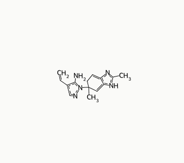 C=Cc1cnn(C2(C)C=c3[nH]c(C)nc3=CC2)c1N